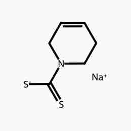 S=C([S-])N1CC=CCC1.[Na+]